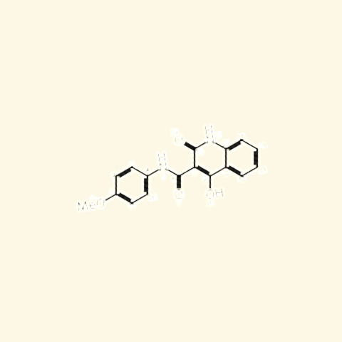 COc1ccc(NC(=O)c2c(O)c3ccccc3[nH]c2=O)cc1